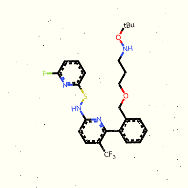 CC(C)(C)ONCCCOCc1ccccc1-c1nc(NSc2cccc(F)n2)ccc1C(F)(F)F